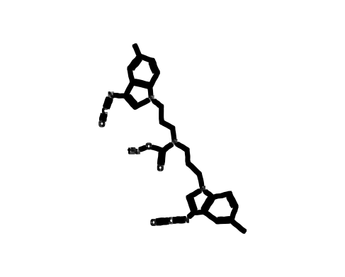 Cc1ccc2c(c1)c(N=C=O)cn2CCCN(CCCn1cc(N=C=O)c2cc(C)ccc21)C(=O)OC(C)(C)C